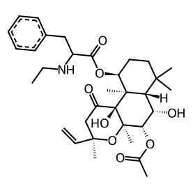 C=C[C@@]1(C)CC(=O)[C@]2(O)[C@@]3(C)[C@@H](OC(=O)C(Cc4ccccc4)NCC)CCC(C)(C)[C@@H]3[C@H](O)[C@H](OC(C)=O)[C@@]2(C)O1